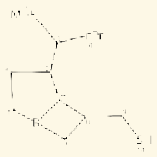 CCCC(SC)C1CCB2CC(CS)C21